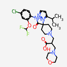 CC(C)c1ccnn1C1(C(=O)Nc2ccc(Cl)cc2OC(F)F)CCN(CC(CN2CCOCC2)C(=O)O)CC1